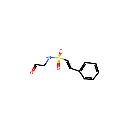 O=[C]CNS(=O)(=O)/C=C/c1ccccc1